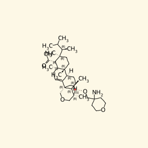 CC(C)[C@@H](C)[C@@]1(C)CC[C@]2(C)[C@H]3CC[C@@H]4[C@@]5(COC[C@]4(C)[C@@H](OCC4(N)CCOCC4)[C@H](C)C5)C3=CC[C@@]2(C)[C@@H]1C(=O)O